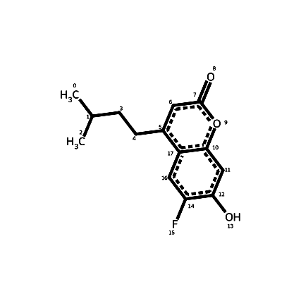 CC(C)CCc1cc(=O)oc2cc(O)c(F)cc12